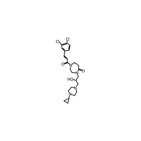 O=C(/C=C/c1ccc(Cl)c(Cl)c1)N1CCC(=O)N(CC(O)CN2CCN(C3CC3)CC2)CC1